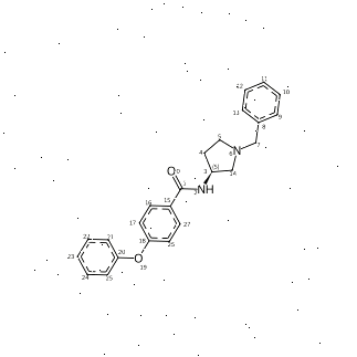 O=C(N[C@H]1CCN(Cc2ccccc2)C1)c1ccc(Oc2ccccc2)cc1